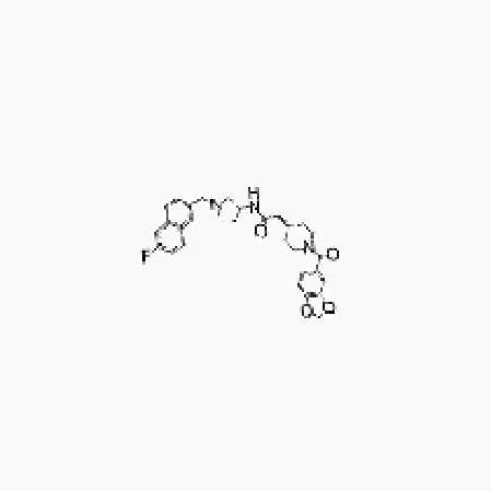 O=C(C=C1CCN(C(=O)c2ccc3c(c2)OCO3)CC1)NC1CCN(Cc2ccc3cc(F)ccc3c2)C1